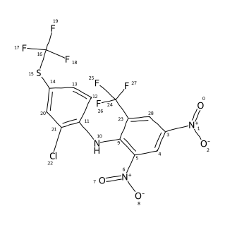 O=[N+]([O-])c1cc([N+](=O)[O-])c(Nc2ccc(SC(F)(F)F)cc2Cl)c(C(F)(F)F)c1